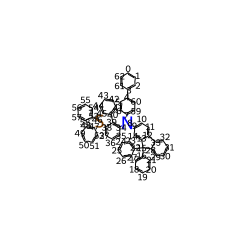 c1ccc(-c2ccc(N(c3ccc4c(c3)C(c3ccccc3)(c3ccccc3)c3ccccc3-4)c3cccc4c3-c3ccccc3S4(c3ccccc3)c3ccccc3)cc2)cc1